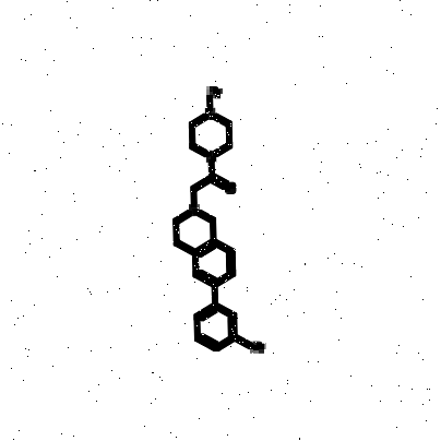 CC(C)c1cccc(-c2ccc3c(c2)CCN(CC(=O)N2CCN(C(C)C)CC2)C3)c1